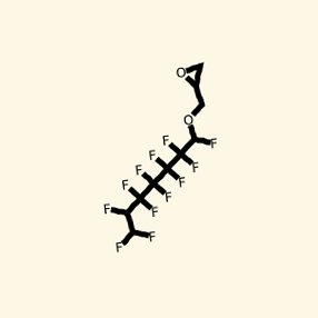 FC(F)C(F)C(F)(F)C(F)(F)C(F)(F)C(F)(F)C(F)OCC1CO1